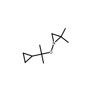 CC(C)(ON1CC1(C)C)C1CC1